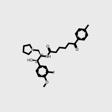 COc1ccc([C@@H](O)[C@@H](CN2CCCC2)NC(=O)CCCCC(=O)c2ccc(C)cc2)cc1F